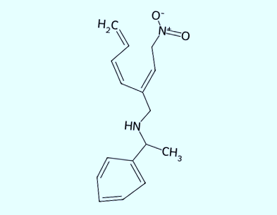 C=C/C=C\C(=C/C[N+](=O)[O-])CNC(C)c1ccccc1